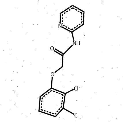 O=C(COc1cccc(Cl)c1Cl)Nc1ccccn1